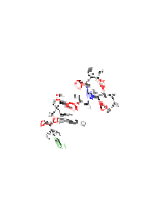 C/C=C\C1OC(C)C(C)C(=O)N(CCOC(=O)C(C)(COC)COC(=O)C(C)(C)Br)C1=O